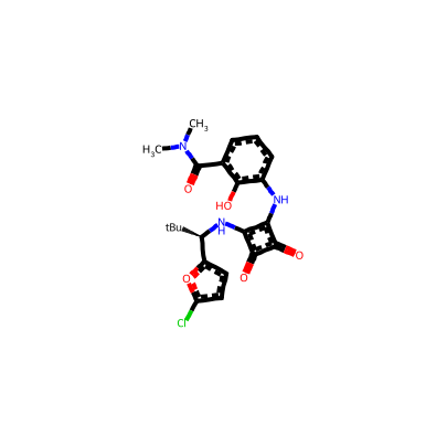 CN(C)C(=O)c1cccc(Nc2c(N[C@@H](c3ccc(Cl)o3)C(C)(C)C)c(=O)c2=O)c1O